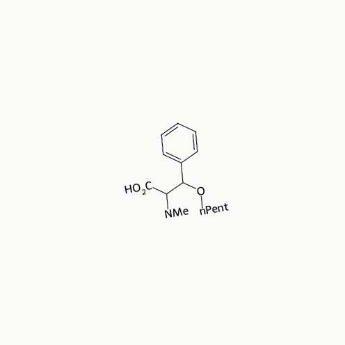 CCCCCOC(c1ccccc1)C(NC)C(=O)O